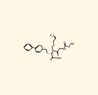 C=CCSCN(C(=O)CNC(=O)OC(C)(C)C)[C@@H](CCC1C=CC(c2ccccc2)=CC1)C(=O)OC